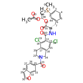 CSc1cccc(C[C@H](NC(=O)c2c(Cl)cc3c(c2Cl)CCN(C(=O)c2ccc4ccoc4c2)C3)C(=O)OC(C)OC(C)=O)c1